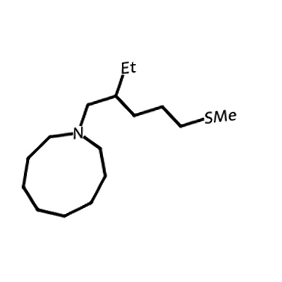 CCC(CCCSC)CN1CCCCCCCC1